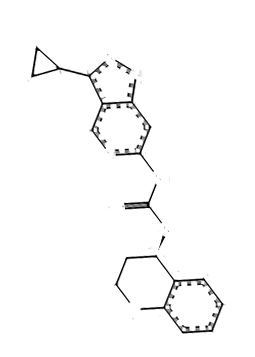 O=C(Nc1cc2[nH]nc(C3CC3)c2cn1)N[C@@H]1CCOc2ccccc21